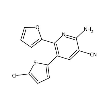 N#Cc1cc(-c2ccc(Cl)s2)c(-c2ccco2)nc1N